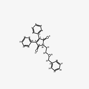 O=C1C(c2ccccc2)=C(c2ccccc2)C(=O)N1CCOCc1ccccc1